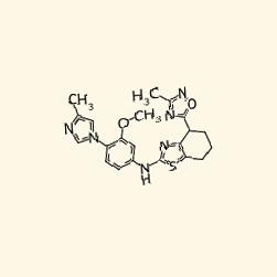 COc1cc(Nc2nc3c(s2)CCCC3c2nc(C)no2)ccc1-n1cnc(C)c1